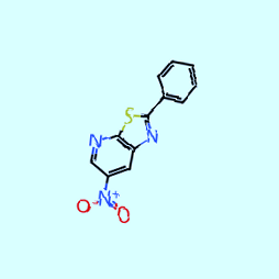 O=[N+]([O-])c1cnc2sc(-c3ccccc3)nc2c1